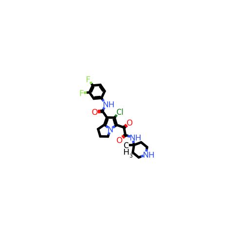 CC1(NC(=O)C(=O)c2c(Cl)c(C(=O)Nc3ccc(F)c(F)c3)c3n2CCC3)CCNCC1